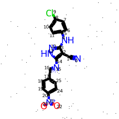 N#Cc1c(Nc2ccc(Cl)cc2)n[nH]c1/N=C/c1ccc([N+](=O)[O-])cc1